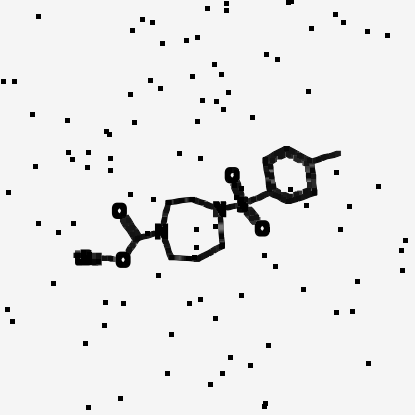 Cc1ccc(S(=O)(=O)N2CCCN(C(=O)OC(C)(C)C)CC2)cc1